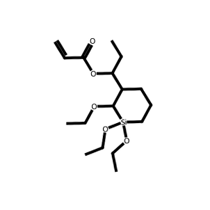 C=CC(=O)OC(CC)C1CCC[Si](OCC)(OCC)C1OCC